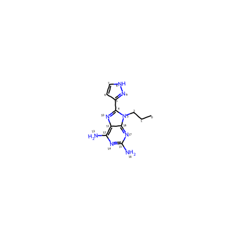 CCCn1c(-c2cc[nH]n2)nc2c(N)nc(N)nc21